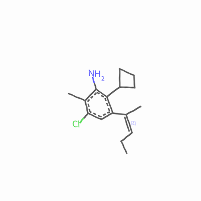 CC/C=C(/C)c1cc(Cl)c(C)c(N)c1C1CCC1